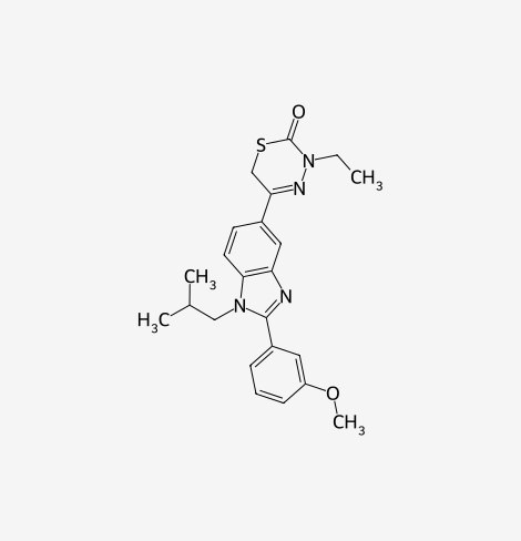 CCN1N=C(c2ccc3c(c2)nc(-c2cccc(OC)c2)n3CC(C)C)CSC1=O